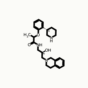 CC(Oc1ccccc1[C@@H]1CCCNC1)C(=O)NC[C@@H](O)CN1CCc2ccccc2C1